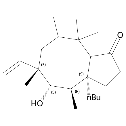 C=C[C@]1(C)CC(C)C(C)(C)C2C(=O)CC[C@@]2(CCCC)[C@@H](C)[C@@H]1O